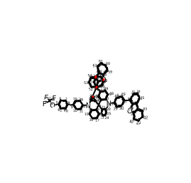 FC(F)(F)Oc1ccc(-c2ccc(N3c4ccccc4C4(c5ccccc5N(c5ccc(-c6cccc7c6oc6ccccc67)cc5)c5ccc(-c6cccc7c6oc6ccccc67)cc54)c4cc(-c5ccccc5)ccc43)cc2)cc1